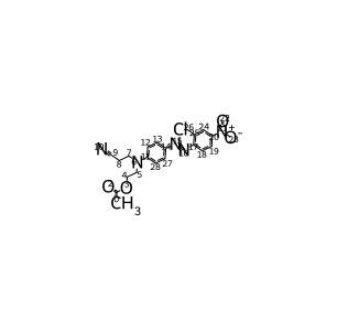 CC(=O)OCCN(CCC#N)c1ccc(N=Nc2ccc([N+](=O)[O-])cc2Cl)cc1